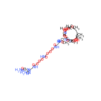 CO[C@H]1C[C@@H]2CC[C@@H](C)[C@@](O)(O2)C(=O)C(=O)N2CCCC[C@H]2C(=O)O[C@H]([C@H](N)C[C@@H]2CC[C@H](n3cc(CCCC(=O)NCCOCCOCCOCCC(=O)NCCOCCOCCOCCC(=O)NCCCCn4nc(-c5ccc6oc(N)nc6c5)c5c(N)ncnc54)nn3)[C@H](OC)C2)CC(=O)[C@H](C)/C=C(\C)[C@@H](O)[C@@H](O)C(=O)[C@H](C)C[C@H](C)/C=C/C=C/C=C/1C